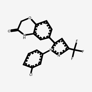 O=C1COc2ccc(-c3cc(C(F)(F)F)nn3-c3cccc(Cl)c3)cc2N1